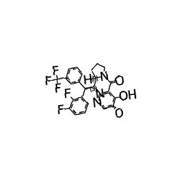 O=C1c2c(O)c(=O)cnn2[C@@H](C(c2cccc(C(F)(F)F)c2)c2cccc(F)c2F)[C@H]2CCCN12